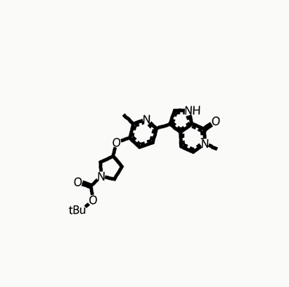 Cc1nc(-c2c[nH]c3c(=O)n(C)ccc23)ccc1OC1CCN(C(=O)OC(C)(C)C)C1